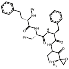 CC(C)CC(NC(=O)[C@H](Cc1ccccc1)NC(=O)[C@H](CC(C)C)NC(=O)[C@H](CCc1ccccc1)NC(C)C)C(=O)[C@@]1(C)CO1